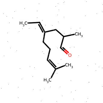 C/C=C(\CCC=C(C)C)CC(C)C=O